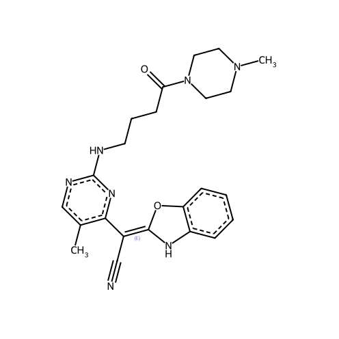 Cc1cnc(NCCCC(=O)N2CCN(C)CC2)nc1/C(C#N)=C1/Nc2ccccc2O1